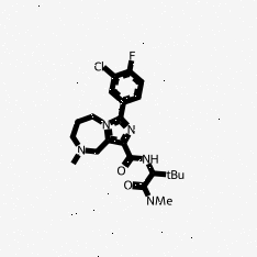 CNC(=O)C(NC(=O)c1nc(-c2ccc(F)c(Cl)c2)n2c1CN(C)CCC2)C(C)(C)C